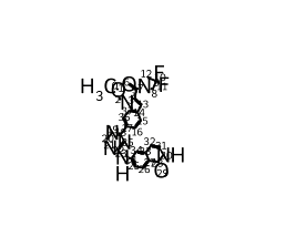 COCn1c(C(=O)N2CC(F)(F)C2)cc2ccc(-c3ncnc(Nc4ccc5c(=O)[nH]ccc5c4)n3)cc21